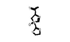 CC(=O)C1C[N+]([O-])(C2OCCO2)C=N1